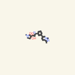 Cc1ncn2cc(-c3cccc(-c4cc([C@]5(O)CCN(C)C5=O)on4)c3)ccc12